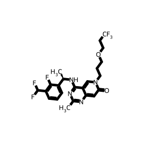 Cc1nc(N[C@H](C)c2cccc(C(F)F)c2F)c2cn(CCCOCCC(F)(F)F)c(=O)cc2n1